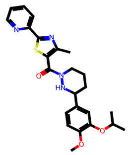 COc1ccc(C2CCCN(C(=O)c3sc(-c4ccccn4)nc3C)N2)cc1OC(C)C